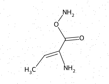 CC=C(N)C(=O)ON